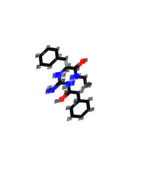 CC(C)CNC(=O)[C@@H](CC1CCCCC1)NC(=N)NC(=O)CC1CCCCC1